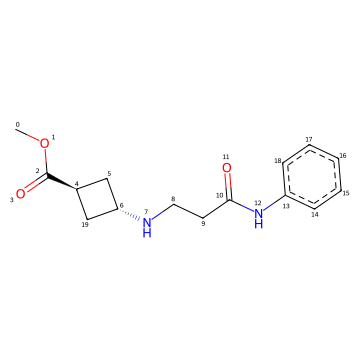 COC(=O)[C@H]1C[C@H](NCCC(=O)Nc2ccccc2)C1